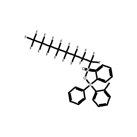 Cc1ccccc1S(OS(=O)(=O)C(F)(F)C(F)(F)C(F)(F)C(F)(F)C(F)(F)C(F)(F)C(F)(F)C(F)(F)F)(c1ccccc1)c1ccccc1